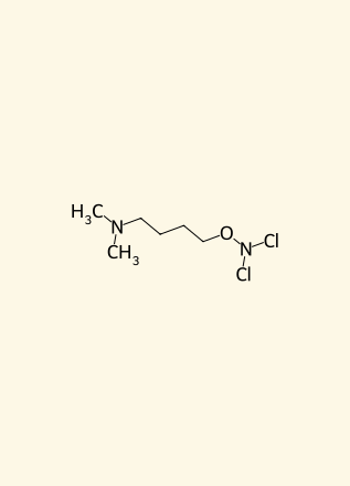 CN(C)CCCCON(Cl)Cl